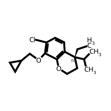 CC[C@@]1(C(C)C)CCOc2c1ccc(Cl)c2OCC1CC1